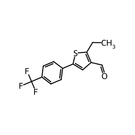 CCc1sc(-c2ccc(C(F)(F)F)cc2)cc1C=O